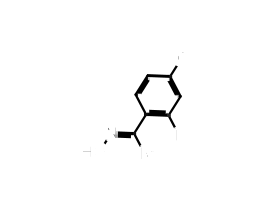 ON=C(Br)c1ccc(Cl)cc1F